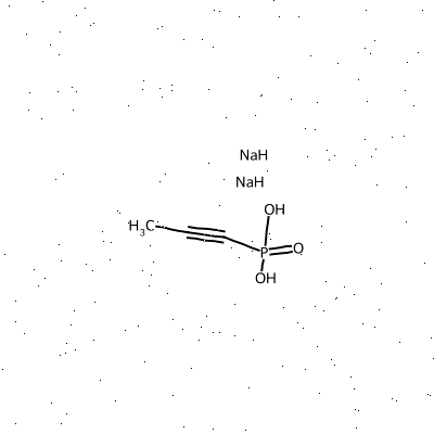 CC#CP(=O)(O)O.[NaH].[NaH]